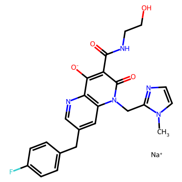 Cn1ccnc1Cn1c(=O)c(C(=O)NCCO)c([O-])c2ncc(Cc3ccc(F)cc3)cc21.[Na+]